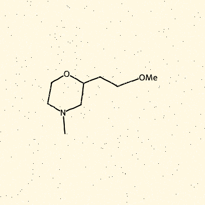 COCCC1CN(C)CCO1